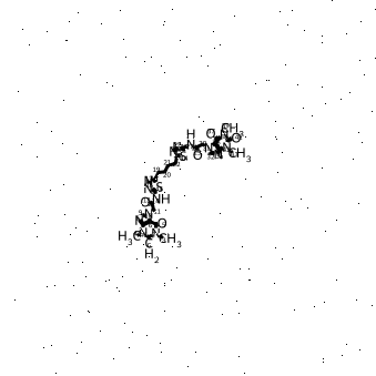 C=C1N(C)C(=O)c2c(ncn2CC(=O)Nc2nnc(CCCCc3nnc(NC(=O)Cn4cnc5c4c(=O)n(C)c(=O)n5C)s3)s2)N1C